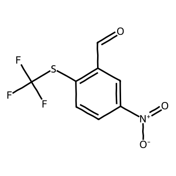 O=Cc1cc([N+](=O)[O-])ccc1SC(F)(F)F